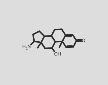 CC12C=CC(=O)C=C1CCC1C2C(O)CC2(C)C(N)CCC12